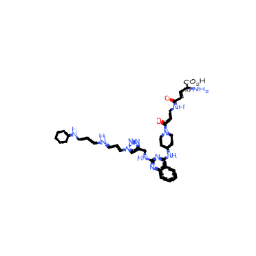 N[C@@H](CCC(=O)NCCC(=O)N1CCC(Nc2nc(NCc3cn(CCCNCCCNC4CCCCC4)nn3)nc3ccccc23)CC1)C(=O)O